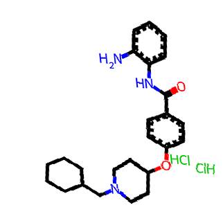 Cl.Cl.Nc1ccccc1NC(=O)c1ccc(OC2CCN(CC3CCCCC3)CC2)cc1